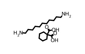 NCCCCCCCCCCCN.O=C(O)C1(C(=O)O)CCCCC1